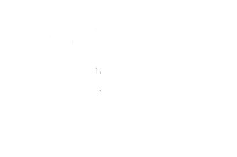 COc1cc(Cn2nc(C(=O)O)c3ccccc32)ccc1Cl